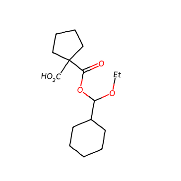 CCOC(OC(=O)C1(C(=O)O)CCCC1)C1CCCCC1